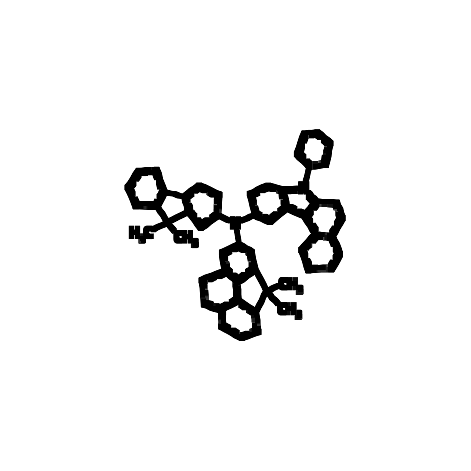 CC1(C)c2ccccc2-c2ccc(N(c3cc4c5c(ccc6cccc(c65)C4(C)C)c3)c3ccc4c(c3)c3c5ccccc5ccc3n4-c3ccccc3)cc21